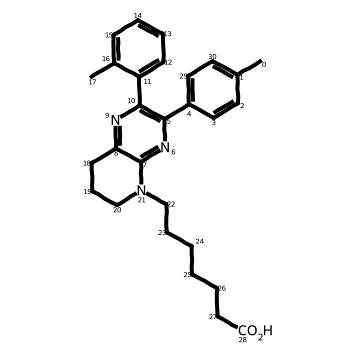 Cc1ccc(-c2nc3c(nc2-c2ccccc2C)CCCN3CCCCCCC(=O)O)cc1